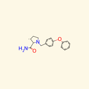 NC(=O)C1[CH]CCN1Cc1ccc(Oc2ccccc2)cc1